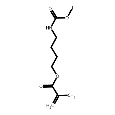 C=C(C)C(=O)OCCCCNC(=O)OI